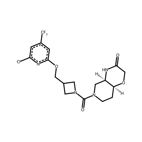 O=C1CO[C@H]2CCN(C(=O)N3CC(COc4cc(C(F)(F)F)cc(Cl)n4)C3)C[C@H]2N1